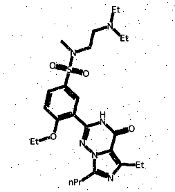 CCCc1nc(CC)c2c(=O)[nH]c(-c3cc(S(=O)(=O)N(C)CCN(CC)CC)ccc3OCC)nn12